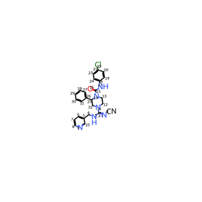 N#C/N=C(/NCc1cccnc1)N1CCN(C(=O)Nc2ccc(Cl)cc2)C(c2ccccc2)C1